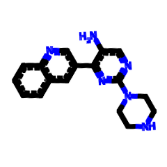 Nc1cnc(N2CCNCC2)nc1-c1cnc2ccccc2c1